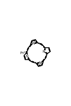 C1=Cc2cc3ccc(cc4nc(cc5ccc(cc1n2)[nH]5)C=C4)[nH]3.[Pt+2]